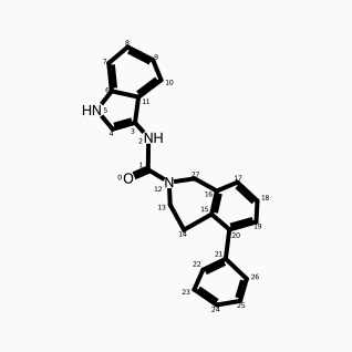 O=C(Nc1c[nH]c2ccccc12)N1CCc2c(cccc2-c2ccccc2)C1